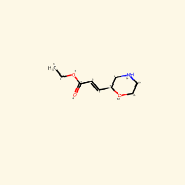 CCOC(=O)C=C[C@H]1CNCCO1